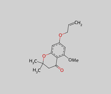 C=CCOc1cc(OC)c2c(c1)OC(C)(C)CC2=O